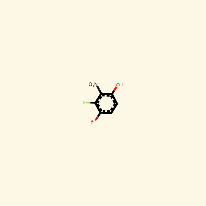 O=[N+]([O-])c1c(O)ccc(Br)c1F